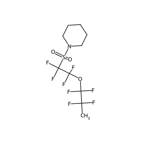 CC(F)(F)C(F)(F)OC(F)(F)C(F)(F)S(=O)(=O)N1CCCCC1